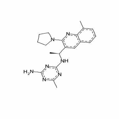 Cc1nc(N)nc(N[C@@H](C)c2cc3cccc(C)c3nc2N2CCCC2)n1